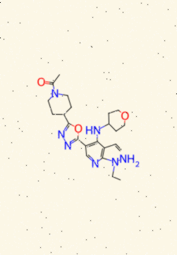 C=Cc1c(N(N)CC)ncc(-c2nnc(C3CCN(C(C)=O)CC3)o2)c1NC1CCOCC1